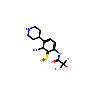 CC1C(C2CCNCC2)=CC=C(NC(=O)C(C)(C)O)C1=S=O